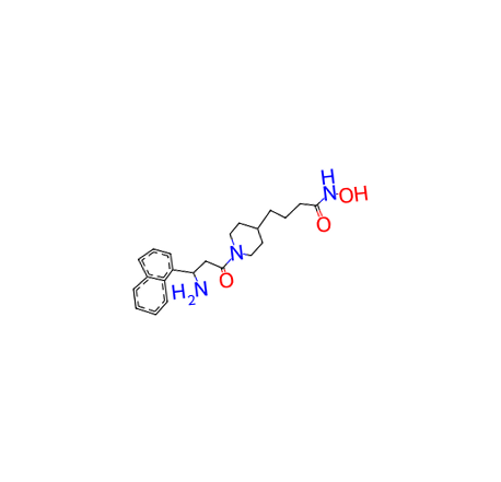 NC(CC(=O)N1CCC(CCCC(=O)NO)CC1)c1cccc2ccccc12